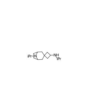 CC(C)NC1CC2(C1)CC1CCC(C2)N1C(C)C